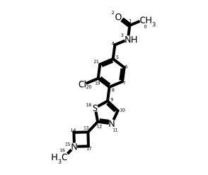 CC(=O)NCc1ccc(-c2cnc(C3CN(C)C3)s2)c(Cl)c1